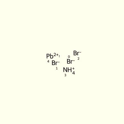 [Br-].[Br-].[Br-].[NH4+].[Pb+2]